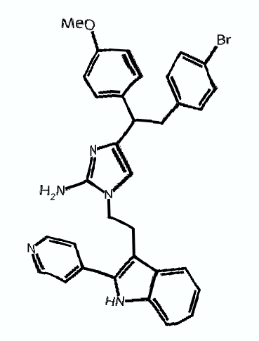 COc1ccc(C(Cc2ccc(Br)cc2)c2cn(CCc3c(-c4ccncc4)[nH]c4ccccc34)c(N)n2)cc1